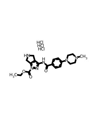 CCOC(=O)n1nc(NC(=O)c2ccc(N3CCN(C)CC3)cc2)c2c1CNC2.Cl.Cl.Cl